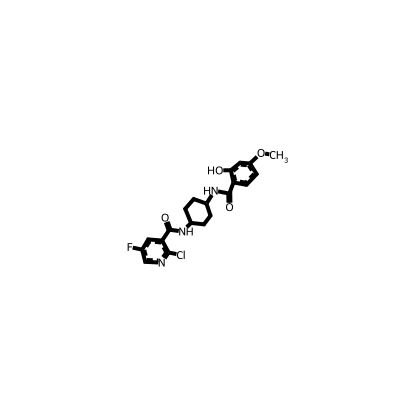 COc1ccc(C(=O)NC2CCC(NC(=O)c3cc(F)cnc3Cl)CC2)c(O)c1